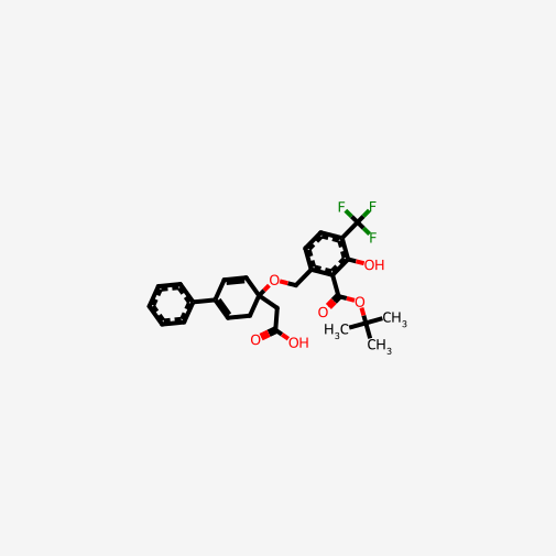 CC(C)(C)OC(=O)c1c(COC2(CC(=O)O)C=CC(c3ccccc3)=CC2)ccc(C(F)(F)F)c1O